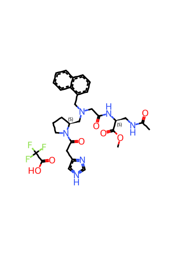 COC(=O)[C@H](CNC(C)=O)NC(=O)CN(Cc1cccc2ccccc12)C[C@@H]1CCCN1C(=O)Cc1c[nH]cn1.O=C(O)C(F)(F)F